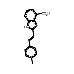 Cc1ccc(/C=C/c2nc3c(C(=O)O)cccc3[nH]2)cc1